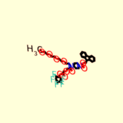 COCCOCCOCCOCCN(C(=O)COCC(=O)Oc1c(F)c(F)c(F)c(F)c1F)C1CCN(C(=O)OCC2c3ccccc3-c3ccccc32)CC1